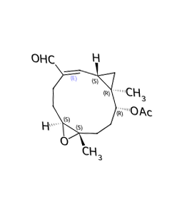 CC(=O)O[C@@H]1CC[C@]2(C)O[C@H]2CC/C(C=O)=C\[C@@H]2C[C@]21C